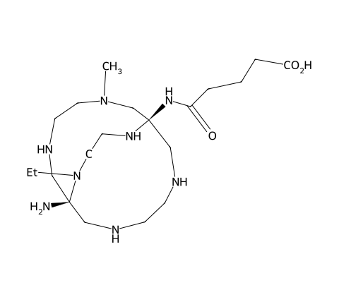 CCN1CCN[C@@]2(NC(=O)CCCC(=O)O)CNCCNC[C@]1(N)CNCCN(C)C2